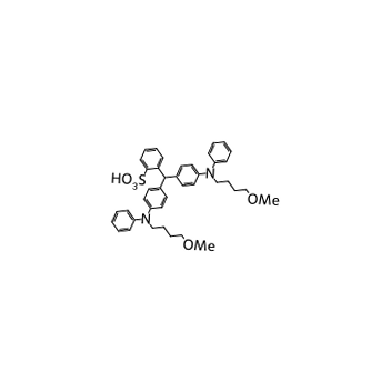 COCCCCN(c1ccccc1)c1ccc(C(c2ccc(N(CCCCOC)c3ccccc3)cc2)c2ccccc2S(=O)(=O)O)cc1